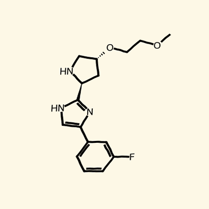 COCCO[C@H]1CN[C@H](c2nc(-c3cccc(F)c3)c[nH]2)C1